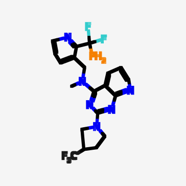 CN(Cc1cccnc1C(F)(F)P)c1nc(N2CCC(C(F)(F)F)C2)nc2ncccc12